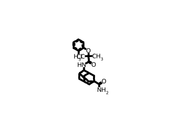 CC(C)(Oc1ccccc1Cl)C(=O)NC1C2CC3CC1CC(C(N)=O)(C3)C2